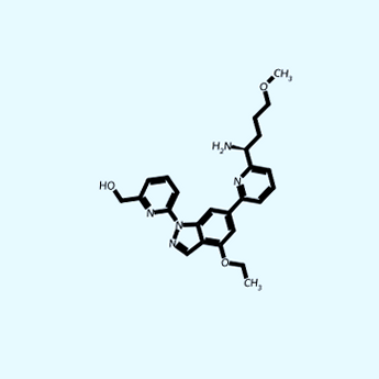 CCOc1cc(-c2cccc([C@@H](N)CCCOC)n2)cc2c1cnn2-c1cccc(CO)n1